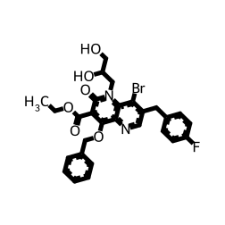 CCOC(=O)c1c(OCc2ccccc2)c2ncc(Cc3ccc(F)cc3)c(Br)c2n(CC(O)CO)c1=O